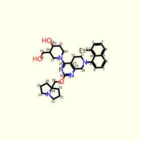 CCc1cccc2cccc(N3CCc4c(nc(OCC56CCCN5CCC6)nc4N4CCC(O)C(CO)C4)C3)c12